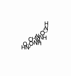 O=C1NCc2cc(Nc3nc(Nc4ccc5c(c4)CCNC5)ncc3Cl)ccc21